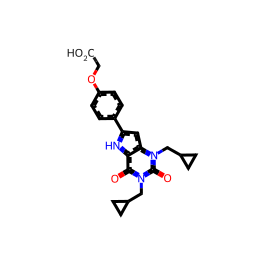 O=C(O)COc1ccc(-c2cc3c([nH]2)c(=O)n(CC2CC2)c(=O)n3CC2CC2)cc1